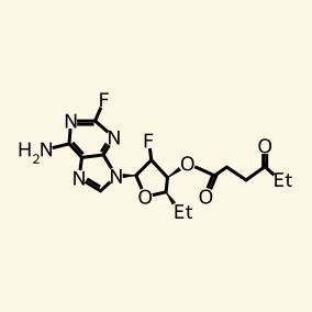 CCC(=O)CCC(=O)O[C@@H]1C(F)[C@H](n2cnc3c(N)nc(F)nc32)O[C@@H]1CC